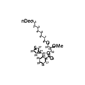 CCCCCCCCCCCCCCCCCCOCC(COC(=O)c1ccccc1C[n+]1ccsc1)OC